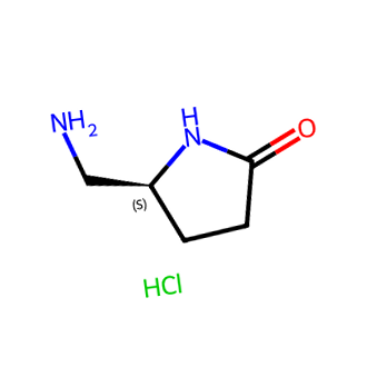 Cl.NC[C@@H]1CCC(=O)N1